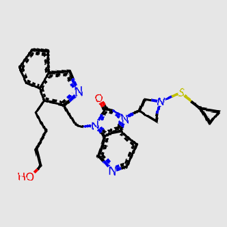 O=c1n(Cc2ncc3ccccc3c2CCCCO)c2cnccc2n1C1CN(SC2CC2)C1